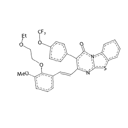 CCOCCOc1c(C=Cc2nc3sc4ccccc4n3c(=O)c2-c2ccc(OC(F)(F)F)cc2)cccc1OC